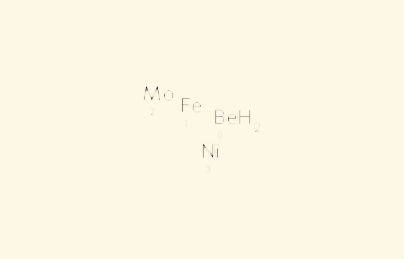 [BeH2].[Fe].[Mo].[Ni]